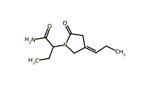 CC/C=C1\CC(=O)N(C(CC)C(N)=O)C1